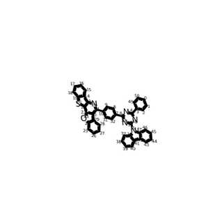 c1ccc(-c2nc(-c3ccc(-c4nc5c6ccccc6sc5c5oc6ccccc6c45)cc3)nc(-n3c4ccccc4c4ccccc43)n2)cc1